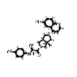 O=C(Nc1ccc(Cl)cc1)C(=O)N1CC2C[C@H](c3ccnc4ccc(F)cc34)C[C@@H]2C1